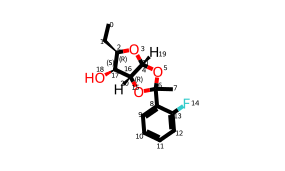 CC[C@H]1O[C@@H]2OC(C)(c3ccccc3F)O[C@@H]2[C@H]1O